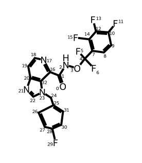 O=C(NOC(F)(F)c1ccc(F)c(F)c1F)c1nccc2ncn(Cc3ccc(F)cc3)c12